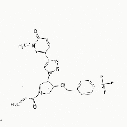 C=CC(=O)N1CC(OCc2ccc(C(F)(F)F)cc2)C(n2cc(-c3ccc(=O)n(C)c3)nn2)C1